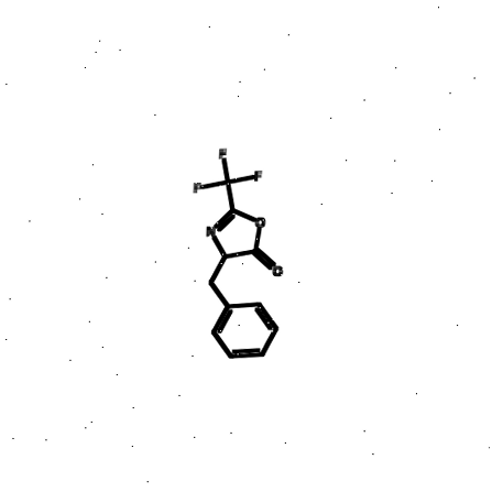 O=C1OC(C(F)(F)F)=NC1Cc1ccccc1